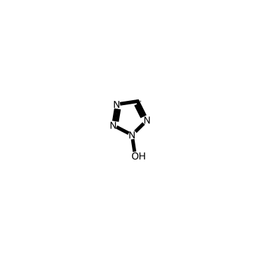 On1n[c]nn1